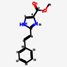 COC(=O)c1c[nH]c(C=Cc2ccccc2)n1